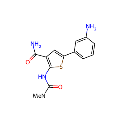 CNC(=O)Nc1sc(-c2cccc(N)c2)cc1C(N)=O